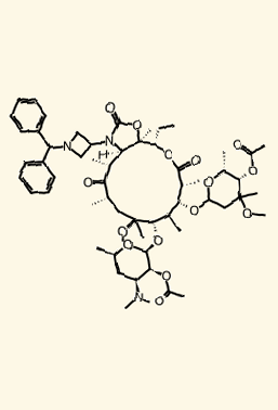 CC[C@@H]1OC(=O)[C@H](C)[C@H](OC2CC(C)(OC)[C@@H](OC(C)=O)[C@@H](C)O2)[C@@H](C)[C@H](O[C@@H]2O[C@H](C)C[C@H](N(C)C)[C@@H]2OC(C)=O)C(C)(OC)C[C@H](C)C(=O)[C@H](C)[C@H]2N(C3CN(C(c4ccccc4)c4ccccc4)C3)C(=O)O[C@@]12C